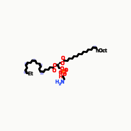 CC/C=C\C/C=C\C/C=C\C/C=C\C/C=C\CCCC(=O)O[C@H](COC(=O)CCCCCCCCCCC/C=C\CCCCCCCC)COP(=O)(O)OCCN